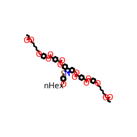 C=CC(=O)OCCCCCCOc1ccc(OC(=O)c2ccc(C(=O)Oc3ccc4c(c3)nc(Sc3ccc(OCCCCCC)cc3)c3cc(OC(=O)c5ccc(C(=O)Oc6ccc(OCCCCCCOC(=O)C=C)cc6)cc5)ccc34)cc2)cc1